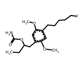 CCC(Cc1cc(OC)c(CCCCCF)cc1OC)OC(N)=O